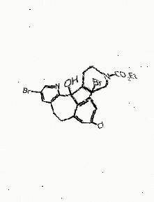 CCOC(=O)N1CCC(C2(O)c3ncc(Br)cc3CCc3cc(Cl)cc(Br)c32)CC1